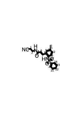 N#CCCNC(=O)C=Cc1cc(F)ccc1NS(=O)(=O)c1ccccc1